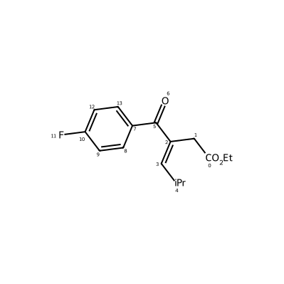 CCOC(=O)CC(=CC(C)C)C(=O)c1ccc(F)cc1